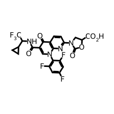 O=C(NC(C1CC1)C(F)(F)F)c1cn(-c2c(F)cc(F)cc2F)c2nc(N3CC(C(=O)O)OC3=O)ccc2c1=O